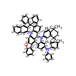 CC1(C)CCC(C)(C)c2cc(N3B4c5cccc6c5N(c5cc7ccccc7cc5C6(c5ccccc5)c5ccccc5)c5cc6oc7ccccc7c6c(c54)-c4ccc(N(c5ccccc5)c5ccccc5)cc43)ccc21